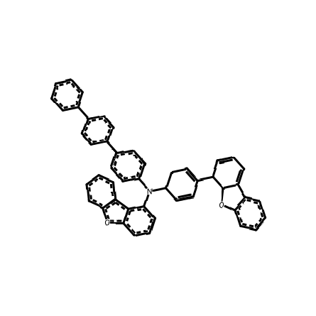 C1=CC(C2=CCC(N(c3ccc(-c4ccc(-c5ccccc5)cc4)cc3)c3cccc4oc5ccccc5c34)C=C2)C2Oc3ccccc3C2=C1